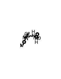 CCC(=O)N(CCCNc1n[nH]c(=O)c2ccccc12)c1nc(-c2ccc(CN(C)C)cc2)no1